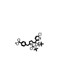 COC(=O)c1ccc(CC2CCC([C@H](O[Si](C)(C)C(C)(C)C)c3ccc(Cl)nc3)N2C(=O)OC(C)(C)C)cc1